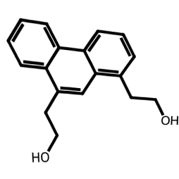 OCCc1cc2c(CCO)cccc2c2ccccc12